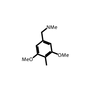 CNCc1cc(OC)c(C)c(OC)c1